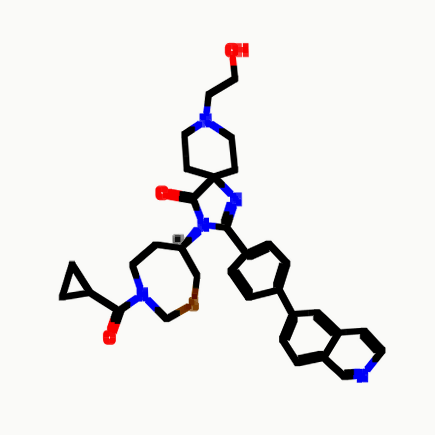 O=C(C1CC1)N1CC[C@@H](N2C(=O)C3(CCN(CCO)CC3)N=C2c2ccc(-c3ccc4cnccc4c3)cc2)CSC1